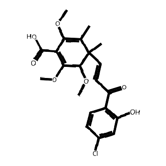 COC1=C(C)C(C)(C=CC(=O)c2ccc(Cl)cc2O)C(OC)C(OC)=C1C(=O)O